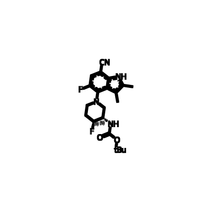 Cc1[nH]c2c(C#N)cc(F)c(N3CC[C@H](F)[C@@H](NC(=O)OC(C)(C)C)C3)c2c1C